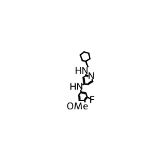 COc1ccc(Nc2ccnc(NCC3CCCCC3)c2)cc1F